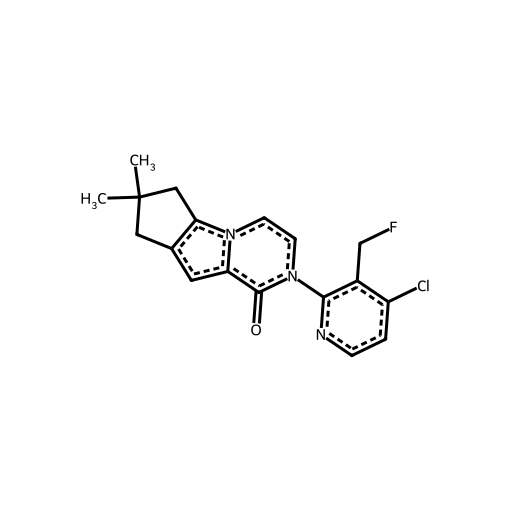 CC1(C)Cc2cc3c(=O)n(-c4nccc(Cl)c4CF)ccn3c2C1